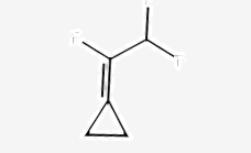 FC(=C1CC1)C(F)F